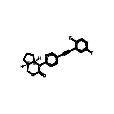 O=C1OC[C@H]2CCC[C@H]2N1c1ccc(C#Cc2cc(F)ccc2F)cn1